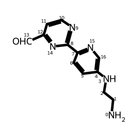 NCCNc1ccc(-c2nccc(C=O)n2)nc1